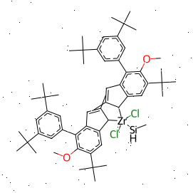 COc1c(C(C)(C)C)cc2c(c1-c1cc(C(C)(C)C)cc(C(C)(C)C)c1)C=C(C)[CH]2[Zr]([Cl])([Cl])([CH]1C(C)=Cc2c1cc(C(C)(C)C)c(OC)c2-c1cc(C(C)(C)C)cc(C(C)(C)C)c1)[SiH](C)C